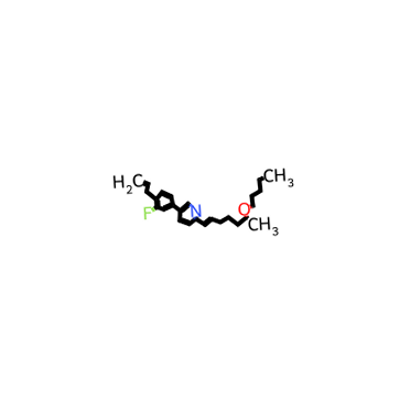 C=CCc1ccc(-c2ccc(/C=C/CCCC(C)OCCCCC)nc2)cc1F